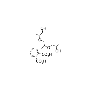 CC(O)COC(C)COC(C)CO.O=C(O)c1ccccc1C(=O)O